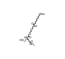 CCCCCCCCCCCCCCCCCC(=O)NCCOCCOCC(=O)N[C@@H](CCC(N)=O)C(=O)O